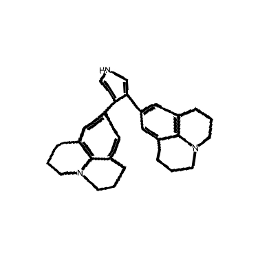 c1c(-c2c[nH]cc2-c2cc3c4c(c2)CCCN4CCC3)cc2c3c1CCCN3CCC2